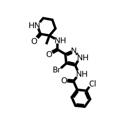 CC1(NC(=O)c2n[nH]c(NC(=O)c3ccccc3Cl)c2Br)CCCNC1=O